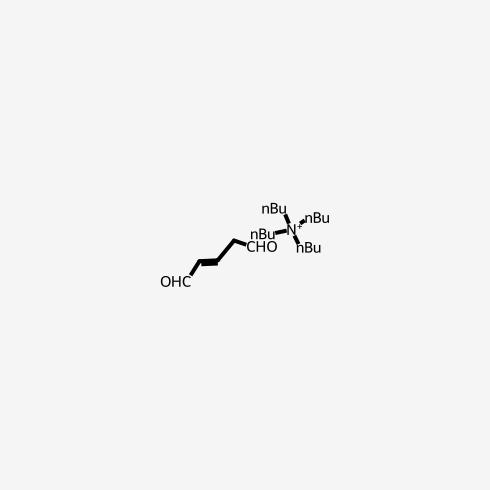 CCCC[N+](CCCC)(CCCC)CCCC.O=CC=CCC=O